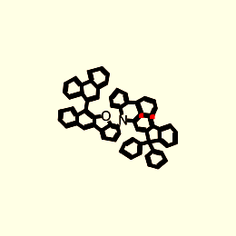 c1ccc(-c2ccccc2N(c2ccc3c(c2)C(c2ccccc2)(c2ccccc2)c2ccccc2-3)c2cccc3c2oc2c(-c4cc5ccccc5c5ccccc45)c4ccccc4cc23)cc1